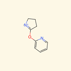 c1ccc(OC2=[N+]CCC2)nc1